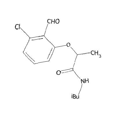 CCC(C)NC(=O)C(C)Oc1cccc(Cl)c1C=O